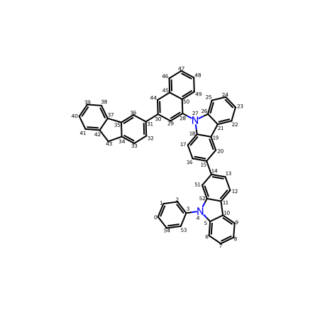 c1ccc(-n2c3ccccc3c3ccc(-c4ccc5c(c4)c4ccccc4n5-c4cc(-c5ccc6c(c5)-c5ccccc5C6)cc5ccccc45)cc32)cc1